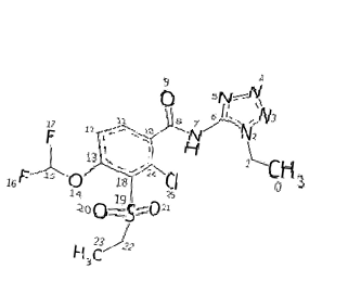 CCn1nnnc1NC(=O)c1ccc(OC(F)F)c(S(=O)(=O)CC)c1Cl